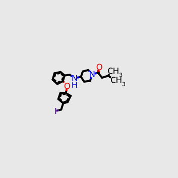 CC(C)CC(=O)N1CCC(NCc2ccccc2Oc2ccc(CI)cc2)CC1